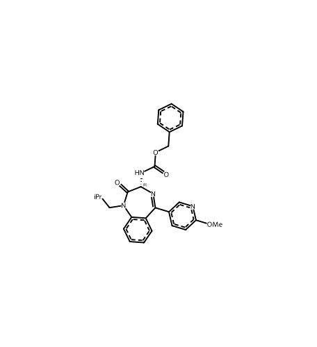 COc1ccc(C2=N[C@@H](NC(=O)OCc3ccccc3)C(=O)N(CC(C)C)c3ccccc32)cn1